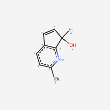 CCC1(O)C=Cc2ccc(C(C)(C)C)nc21